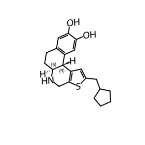 Oc1cc2c(cc1O)[C@@H]1c3cc(CC4CCCC4)sc3CN[C@H]1CC2